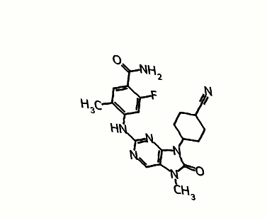 Cc1cc(C(N)=O)c(F)cc1Nc1ncc2c(n1)n(C1CCC(C#N)CC1)c(=O)n2C